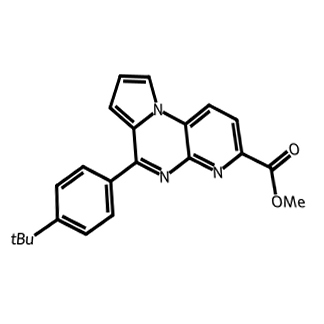 COC(=O)c1ccc2c(n1)nc(-c1ccc(C(C)(C)C)cc1)c1cccn12